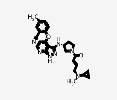 Cc1ccc(Oc2ccnc3[nH]nc(N[C@@H]4CCN(C(=O)/C=C/CN(C)C5CC5)C4)c23)c(C#N)c1